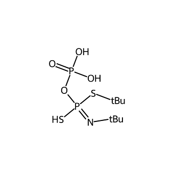 CC(C)(C)N=P(S)(OP(=O)(O)O)SC(C)(C)C